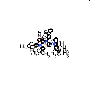 Cc1cc2c3c(c1)N(c1ccc(C(C)(C)C)cc1-c1ccccc1)c1cc(C(C)(C)C)ccc1B3c1ccc(N3c4ccc(C(C)(C)C)cc4C4(C)CCCCC34C)cc1N2c1ccc2c(c1)C(C)(C)c1ccccc1-2